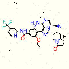 CCOc1cc(C(=O)Nc2cc(C(F)(F)F)ccn2)ccc1-c1nc([C@@H]2CC[C@H]3CCC(=O)N3C2)n2c(C#N)cnc(N)c12